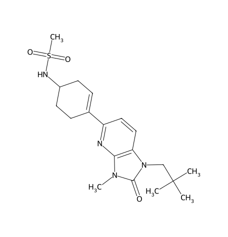 Cn1c(=O)n(CC(C)(C)C)c2ccc(C3=CCC(NS(C)(=O)=O)CC3)nc21